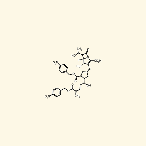 CC(O)[C@H]1C(=O)N2C(C(=O)O)=C(S[C@H]3C[C@@H](C(O)CCN(C)C(=O)OCc4ccc([N+](=O)[O-])cc4)N(C(=O)OCc4ccc([N+](=O)[O-])cc4)C3)[C@H](C)[C@H]12